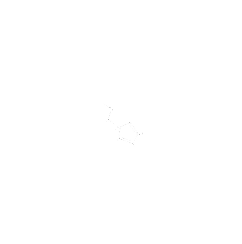 CCNCn1ccnc1